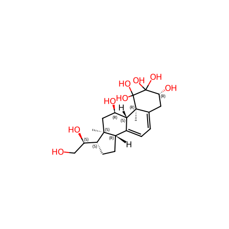 C[C@]12C[C@@H](O)[C@H]3C(=CC=C4C[C@@H](O)C(O)(O)C(O)(O)[C@@]43C)[C@@H]1CC[C@@H]2[C@H](O)CO